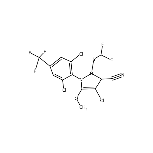 COC1=C(Cl)C(C#N)N(SC(F)F)N1c1c(Cl)cc(C(F)(F)F)cc1Cl